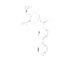 N=CN1CCN(C(=O)c2ccc(-c3ccncc3)cc2)CC1=N